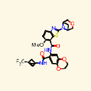 COc1ccc2nc(N3C4COCC3C4)sc2c1C(=O)Nc1cc2c(cc1C(=O)NC13CC(C(F)(F)F)(C1)C3)OCCO2